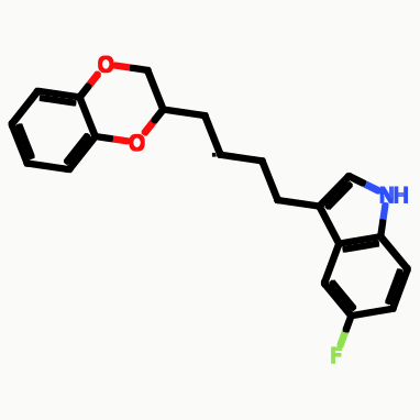 Fc1ccc2[nH]cc(CC[CH]CC3COc4ccccc4O3)c2c1